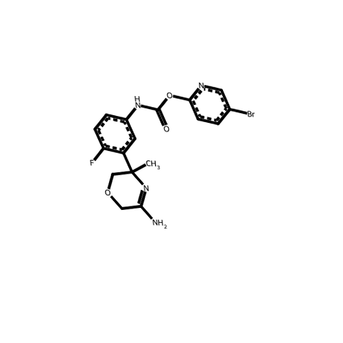 CC1(c2cc(NC(=O)Oc3ccc(Br)cn3)ccc2F)COCC(N)=N1